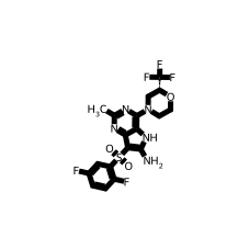 Cc1nc(N2CCO[C@@H](C(F)(F)F)C2)c2[nH]c(N)c(S(=O)(=O)c3cc(F)ccc3F)c2n1